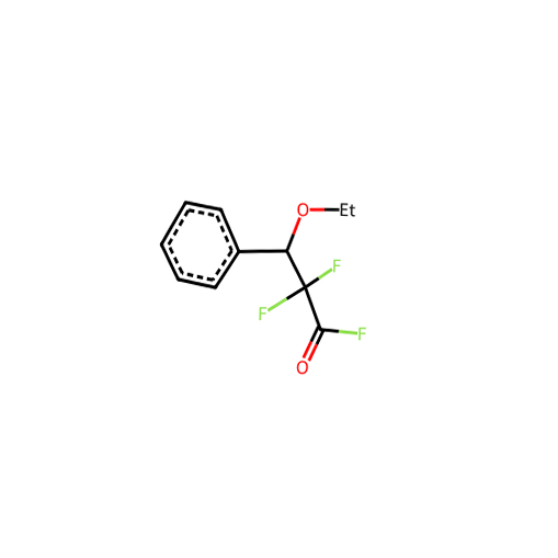 CCOC(c1ccccc1)C(F)(F)C(=O)F